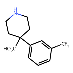 O=C(O)C1(c2cccc(C(F)(F)F)c2)CCNCC1